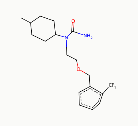 CC1CCC(N(CCOCc2ccccc2C(F)(F)F)C(N)=O)CC1